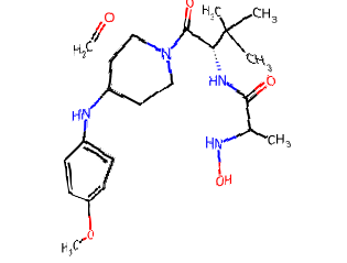 C=O.COc1ccc(NC2CCN(C(=O)[C@@H](NC(=O)C(C)NO)C(C)(C)C)CC2)cc1